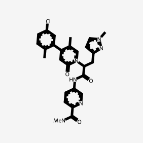 CNC(=O)c1ccc(NC(=O)C(Cc2ccn(C)n2)n2cc(C)c(-c3cc(Cl)ccc3C)cc2=O)cn1